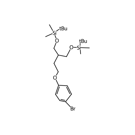 CC(C)(C)[Si](C)(C)OCC(CCOc1ccc(Br)cc1)CO[Si](C)(C)C(C)(C)C